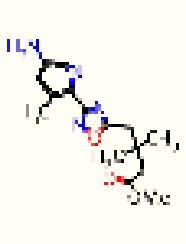 COC(=O)CC(C)(C)Cc1nc(-c2ncc(N)cc2C)no1